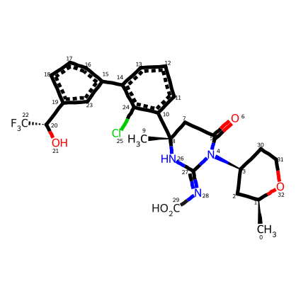 C[C@H]1C[C@@H](N2C(=O)C[C@@](C)(c3cccc(-c4cccc([C@H](O)C(F)(F)F)c4)c3Cl)N/C2=N\C(=O)O)CCO1